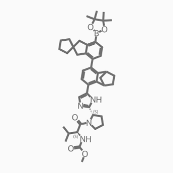 COC(=O)N[C@H](C(=O)N1CCC[C@H]1c1ncc(-c2ccc(-c3ccc(B4OC(C)(C)C(C)(C)O4)c4c3CC3(CCCC3)C4)c3c2C2CCC3C2)[nH]1)C(C)C